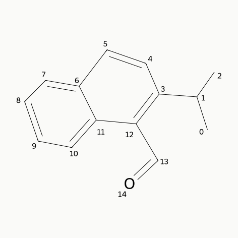 CC(C)c1ccc2ccccc2c1C=O